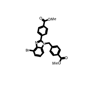 COC(=O)c1ccc(Cn2c(-c3ccc(C(=O)OC)cc3)nc3c(Br)cccc32)cc1